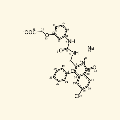 Cn1c(CNC(=O)Nc2cccc(OCC(=O)[O-])c2)c(-c2ccccc2)c2cc(Cl)ccc2c1=O.[Na+]